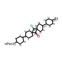 CCCCCC1CCC(C2CCC3(CC2)C(=O)C2(CCC(C4CCC(CC)CC4)CC2)C3F)CC1